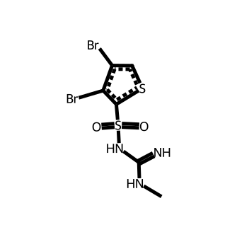 CNC(=N)NS(=O)(=O)c1scc(Br)c1Br